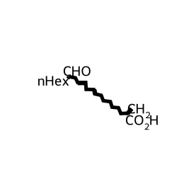 C=C(CCCCCCC=CCC=CCC(C=O)CCCCCC)C(=O)O